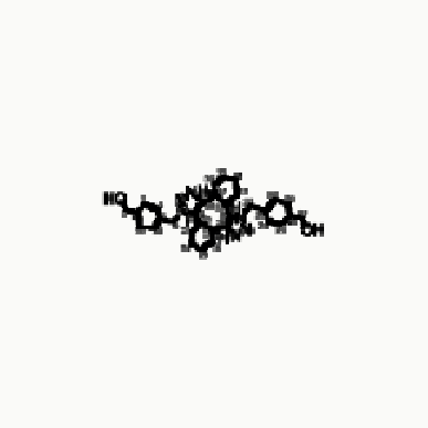 OCc1ccc(Cn2nnc3c2[C@H]2C=CC=C[C@H]2c2nnn(Cc4ccc(CO)cc4)c2[C@H]2C=CC=C[C@@H]32)cc1